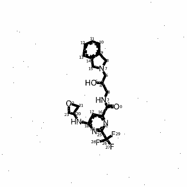 O=C(NCC(O)CN1Cc2ccccc2C1)c1cc(NC2COC2)nc(C(F)(F)F)n1